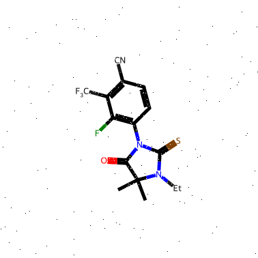 CCN1C(=S)N(c2ccc(C#N)c(C(F)(F)F)c2F)C(=O)C1(C)C